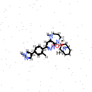 CB(O)N1C2CCC[C@H]1C[C@H](N1CCCN(C)c3cc(-c4ccc(-c5cnn(C)c5)cc4C)nnc31)C2